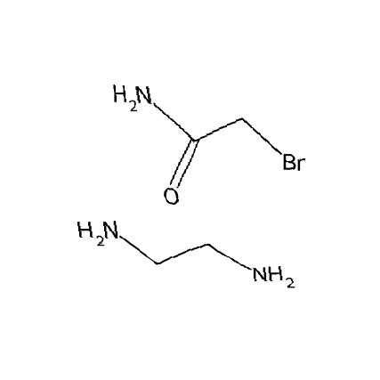 NC(=O)CBr.NCCN